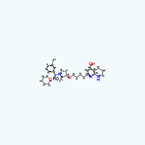 O=C(O)[C@@H](c1cc(F)ccc1[C@H]1CCCCO1)N1CC[C@@H](OCCCCc2cc(O)c3c(n2)NCCC3)C1